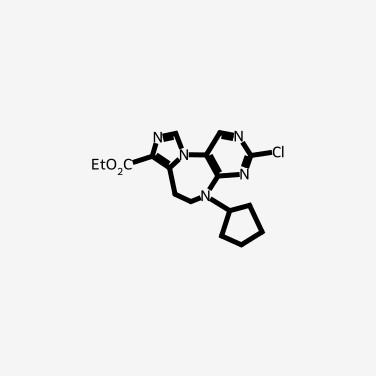 CCOC(=O)c1ncn2c1CCN(C1CCCC1)c1nc(Cl)ncc1-2